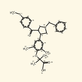 CSc1ccc(C(=O)C2CN(Cc3ccccc3)CC2c2cc(C)c(OC(C)(C)C(=O)O)c(C)c2)cc1